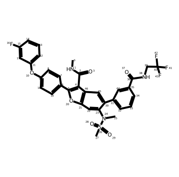 CNC(=O)c1c(-c2ccc(Oc3cccc(F)c3)cc2)oc2cc(N(C)S(C)(=O)=O)c(-c3cccc(C(=O)NCC(F)(F)F)c3)cc12